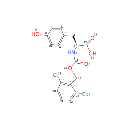 O=C(N[C@@H](Cc1ccc(O)cc1)C(=O)O)OCc1c(Cl)cccc1Cl